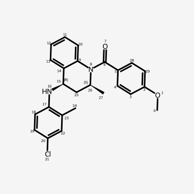 COc1ccc(C(=O)N2c3ccccc3[C@H](Nc3ccc(Cl)cc3C)C[C@@H]2C)cc1